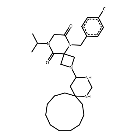 CC(C)N1CC(=O)N(Cc2ccc(Cl)cc2)C2(CN(C3CC4(CCCCCCCCCC4)NCN3)C2)C1=O